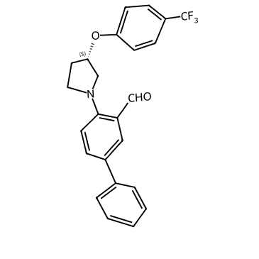 O=Cc1cc(-c2ccccc2)ccc1N1CC[C@H](Oc2ccc(C(F)(F)F)cc2)C1